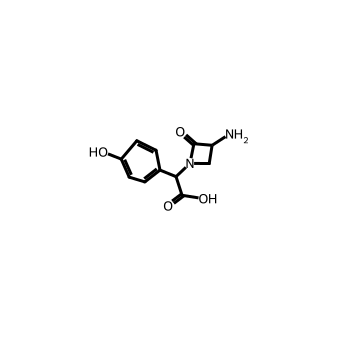 NC1CN(C(C(=O)O)c2ccc(O)cc2)C1=O